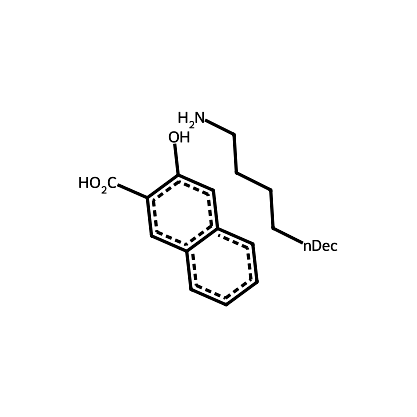 CCCCCCCCCCCCCCN.O=C(O)c1cc2ccccc2cc1O